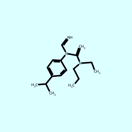 C=C(N(CC)CCC)N(C=N)c1ccc(C(C)C)cc1